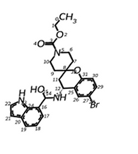 CCOC(=O)N1CCC2(CC1)C[C@@H](NC(O)c1cccc3cc[nH]c13)c1cc(Br)ccc1O2